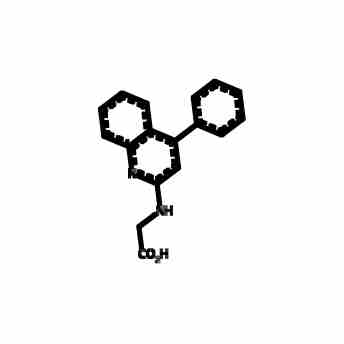 O=C(O)CNc1cc(-c2ccccc2)c2ccccc2n1